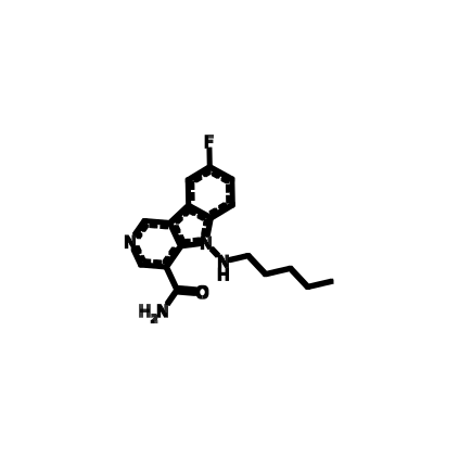 CCCCCNn1c2ccc(F)cc2c2cncc(C(N)=O)c21